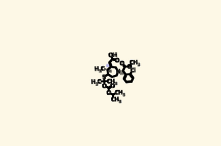 COC(=O)[C@H](c1ccccc1Cl)N1CCC(SC(C)(C)OC(=O)OC(C)C)[C@H](C)/C(=C/C(=O)O)C1